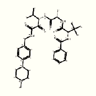 CC(C)[C@H](NC(=O)[C@H](C)NC(=O)[C@@H](NC(=O)c1ccccc1)C(C)(C)C)C(=O)C(=O)NCc1ccc(N2CCN(C)CC2)cc1